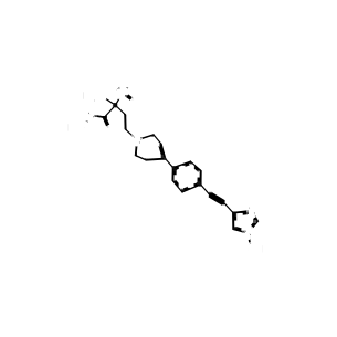 Cn1cnc(C#Cc2ccc(C3=CCN(CCC(C)(C(=O)NO)S(C)(=O)=O)CC3)cc2)c1